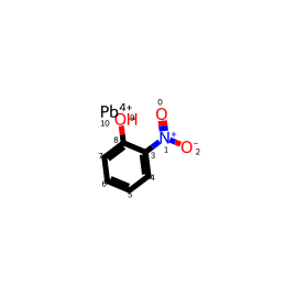 O=[N+]([O-])c1ccccc1O.[Pb+4]